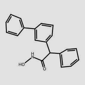 O=C(NO)C(c1ccccc1)c1cccc(-c2ccccc2)c1